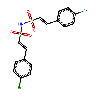 O=S(=O)(C=Cc1ccc(Br)cc1)NS(=O)(=O)C=Cc1ccc(Br)cc1